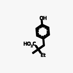 CCC(C)(Cc1ccc(O)cc1)C(=O)O